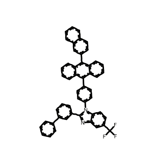 FC(F)(F)c1ccc2c(c1)nc(-c1cccc(-c3ccccc3)c1)n2-c1ccc(-c2c3ccccc3c(-c3ccc4ccccc4c3)c3ccccc23)cc1